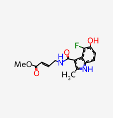 COC(=O)/C=C/CNC(=O)c1c(C)[nH]c2ccc(O)c(F)c12